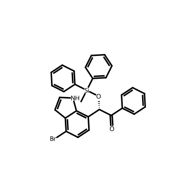 C[Si](O[C@H](C(=O)c1ccccc1)c1ccc(Br)c2cc[nH]c12)(c1ccccc1)c1ccccc1